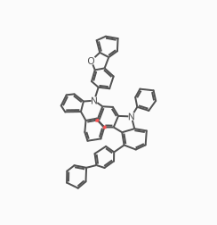 c1ccc(-c2ccc(-c3cccc4c3c3ccc(N(c5ccc6c(c5)oc5ccccc56)c5ccccc5-c5ccccc5)cc3n4-c3ccccc3)cc2)cc1